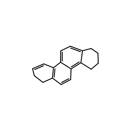 C1=Cc2c(ccc3c4c(ccc23)CCCC4)CC1